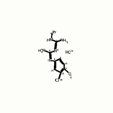 CC(C)NC(N)=NC(N)=Nc1ccc(Cl)c(Cl)c1.Cl